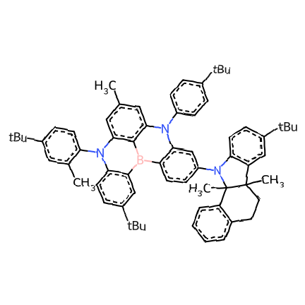 Cc1cc2c3c(c1)N(c1ccc(C(C)(C)C)cc1C)c1ccc(C(C)(C)C)cc1B3c1ccc(N3c4ccc(C(C)(C)C)cc4C4(C)CCc5ccccc5C34C)cc1N2c1ccc(C(C)(C)C)cc1